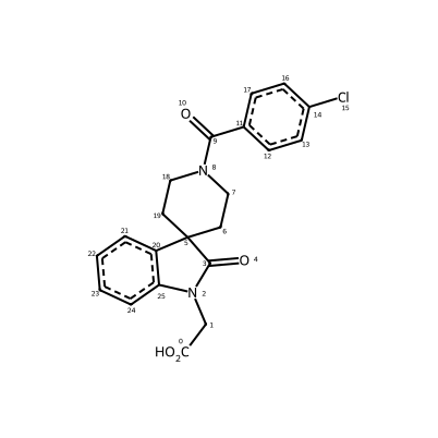 O=C(O)CN1C(=O)C2(CCN(C(=O)c3ccc(Cl)cc3)CC2)c2ccccc21